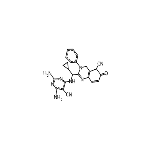 N#Cc1c(N)nc(N)nc1NC(C1=NC2=C(CN1c1ccccc1)C(C#N)C(=O)C=C2)C1CC1